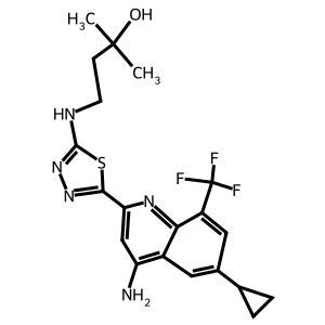 CC(C)(O)CCNc1nnc(-c2cc(N)c3cc(C4CC4)cc(C(F)(F)F)c3n2)s1